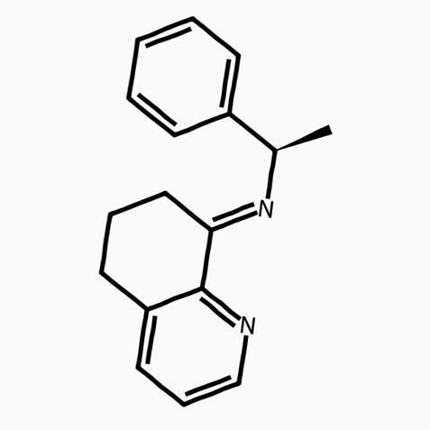 C[C@@H](N=C1CCCc2cccnc21)c1ccccc1